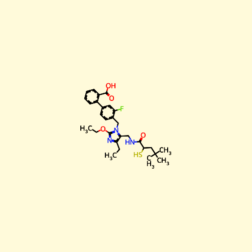 CCOc1nc(CC)c(CNC(=O)C(S)CC(C)(C)C)n1Cc1ccc(-c2ccccc2C(=O)O)cc1F